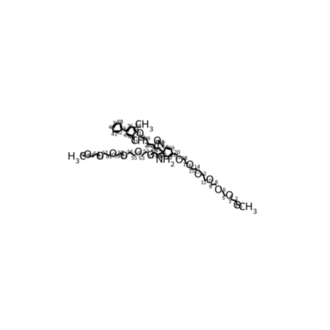 COCCOCCOCCOCCOCCOCCOCC1=CCC(c2cc(CCCOc3c(C)cc(-c4ccccc4)cc3C)on2)(C(N)COCCOCCOCCOCCOCCOC)C=C1